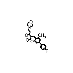 Cc1cc(-c2ccc(F)cc2)cc2oc(=O)c(C(=O)CCN3CCOCC3)cc12